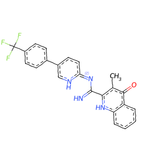 Cc1c(C(=N)/N=c2/ccc(-c3ccc(C(F)(F)F)cc3)c[nH]2)[nH]c2ccccc2c1=O